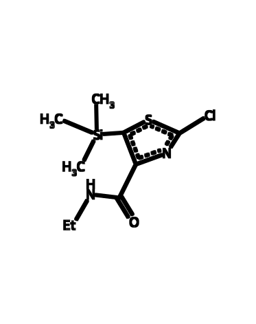 CCNC(=O)c1nc(Cl)sc1[Si](C)(C)C